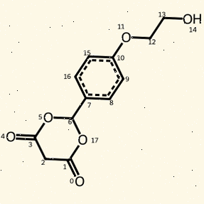 O=C1CC(=O)OC(c2ccc(OCCO)cc2)O1